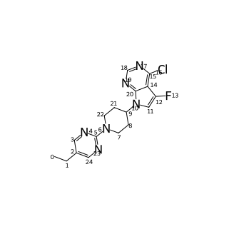 CCc1cnc(N2CCC(n3cc(F)c4c(Cl)ncnc43)CC2)nc1